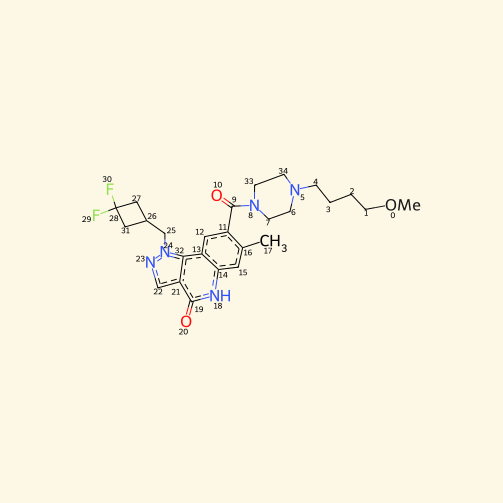 COCCCCN1CCN(C(=O)c2cc3c(cc2C)[nH]c(=O)c2cnn(CC4CC(F)(F)C4)c23)CC1